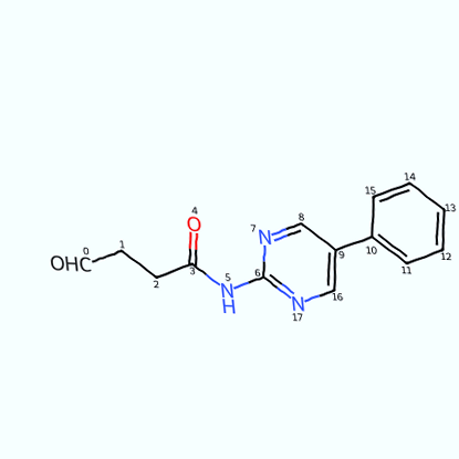 O=CCCC(=O)Nc1ncc(-c2ccccc2)cn1